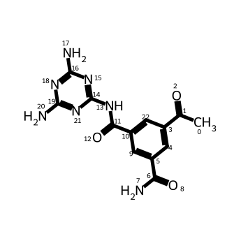 CC(=O)c1cc(C(N)=O)cc(C(=O)Nc2nc(N)nc(N)n2)c1